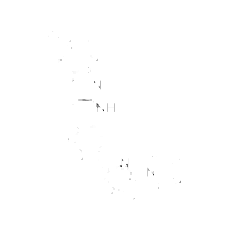 S=C(Nc1ccc(Cl)cc1)Nc1cccc(-c2cccc(N3CCCC3)n2)c1